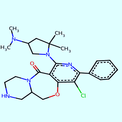 CN(C)C1CN(c2nc(-c3ccccc3)c(Cl)c3c2C(=O)N2CCNCC2CO3)C(C)(C)C1